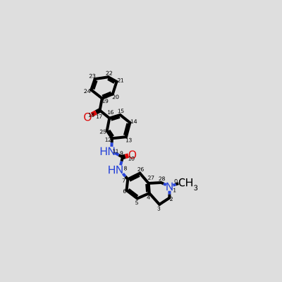 CN1CCc2ccc(NC(=O)Nc3cccc(C(=O)c4ccccc4)c3)cc2C1